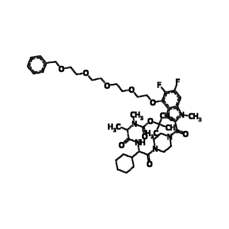 CC(C(=O)NC(C(=O)N1CCN(C(=O)c2cc3c(OCCOCCOCCOCCOCc4ccccc4)c(F)c(F)cc3n2C)CC1)C1CCCCC1)N(C)C(=O)OC(C)(C)C